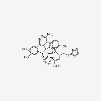 CCN1c2cc(O)c(O)cc2C(=O)C(C(N)=O)([C@H]2C(=O)[N+]3(C)C(C(=O)O)=CC(CSc4nncs4)S[C@@H]23)C1C(C(N)=O)c1ccc(O)cc1